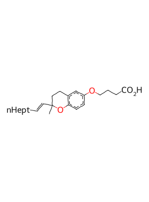 CCCCCCC/C=C/C1(C)CCc2cc(OCCCC(=O)O)ccc2O1